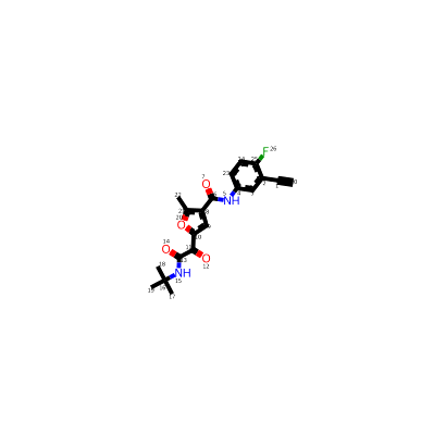 C#Cc1cc(NC(=O)c2cc(C(=O)C(=O)NC(C)(C)C)oc2C)ccc1F